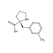 Cc1cccc(C[C@@]2(C(=O)O)CCCN2)c1